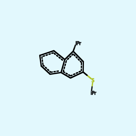 CC(C)Sc1cc(C(C)C)c2ccccc2c1